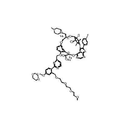 COCCOCCOCCOCc1cc(OC[C@H]2COCCO2)ccc1-c1nccc(COc2ccc3cc2[C@H](C(=O)O)Oc2ncnc4sc(-c5ccc(F)cc5)c(c24)-c2c(C)c(Cl)c(c(Cl)c2C)O[C@H](CN2CCN(C)CC2)CO3)n1